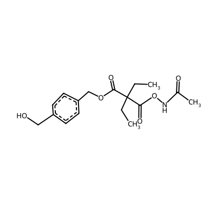 CCC(CC)(C(=O)OCc1ccc(CO)cc1)C(=O)ONC(C)=O